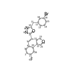 Fc1ccc(/C=C/c2nnc(Cc3cccc(Br)c3)o2)c(-c2ccoc2)c1